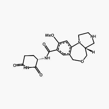 COc1cc2c(cc1C(=O)N[C@H]1CCC(=O)NC1=O)COC[C@H]1CNCCN21